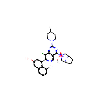 CCc1cccc2cc(O)cc(-c3ncc4c(N5CC6CCC(C5)N6C(=O)OC(C)(C)C)nc(N5CCC(C=O)CC5)nc4c3F)c12